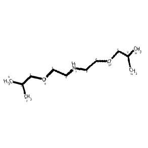 CC(C)COCCNCCOCC(C)C